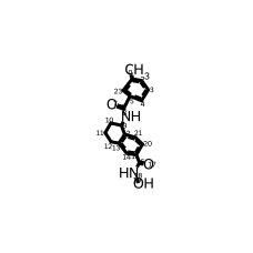 Cc1cccc(C(=O)NC2CCCc3cc(C(=O)NO)ccc32)c1